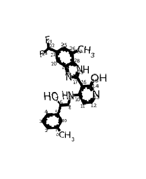 Cc1cccc([C@@H](O)CNc2ccnc(O)c2-c2nc3cc(C(F)F)cc(C)c3[nH]2)c1